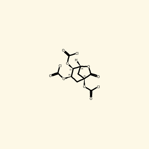 O=C(Cl)O[C@@H]1[C@H](OC(=O)Cl)C[C@]2(OC(=O)Cl)C[C@H]1OC2=O